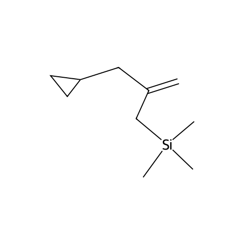 C=C(CC1CC1)C[Si](C)(C)C